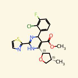 COC(=O)C1=C([C@@H]2C[C@H](C)CO2)NC(c2nccs2)=NC1c1cccc(F)c1Cl